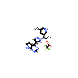 N#CCC(c1cncc(C#N)c1)n1cc(-c2ncnc3[nH]ccc23)cn1.O=C(O)C(F)(F)F